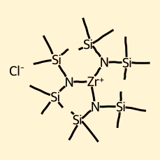 C[Si](C)(C)[N]([Zr+]([N]([Si](C)(C)C)[Si](C)(C)C)[N]([Si](C)(C)C)[Si](C)(C)C)[Si](C)(C)C.[Cl-]